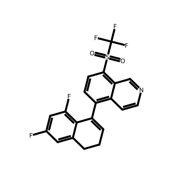 O=S(=O)(c1ccc(C2=CCCc3cc(F)cc(F)c32)c2ccncc12)C(F)(F)F